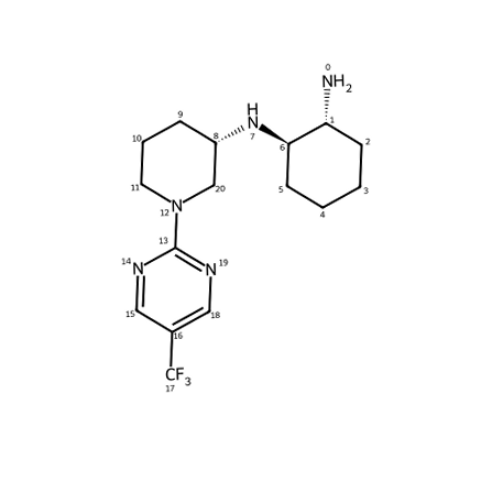 N[C@@H]1CCCC[C@H]1N[C@H]1CCCN(c2ncc(C(F)(F)F)cn2)C1